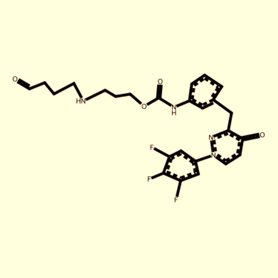 O=CCCCNCCCOC(=O)Nc1cccc(Cc2nn(-c3cc(F)c(F)c(F)c3)ccc2=O)c1